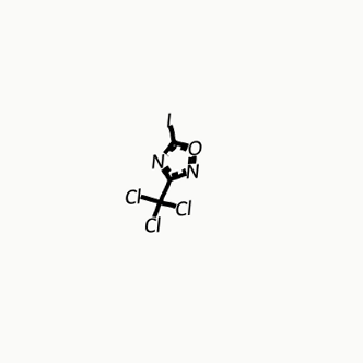 ClC(Cl)(Cl)c1noc(I)n1